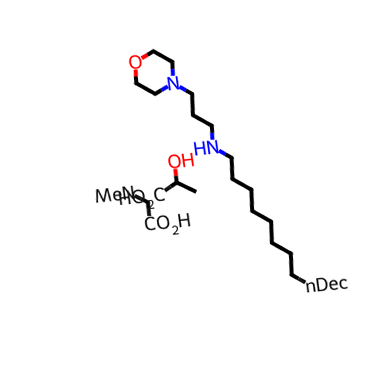 CC(O)C(=O)O.CCCCCCCCCCCCCCCCCCNCCCN1CCOCC1.CNCC(=O)O